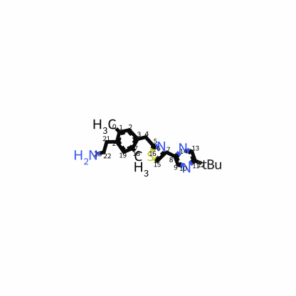 Cc1cc(Cc2nc(-c3cnc(C(C)(C)C)cn3)cs2)c(C)cc1CCN